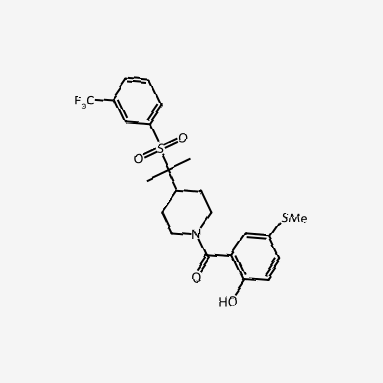 CSc1ccc(O)c(C(=O)N2CCC(C(C)(C)S(=O)(=O)c3cccc(C(F)(F)F)c3)CC2)c1